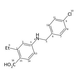 CCc1cc(NCc2ccc(Cl)cc2)ccc1C(=O)O